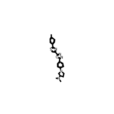 Cc1ccc(-c2nc(-c3nnc(-c4ccc(N5CCC(N(C)C)C5)cc4)o3)cs2)cc1